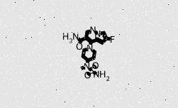 CN(C1CCN(c2c(C(N)=O)cnn3cc(F)cc23)CC1)S(N)(=O)=O